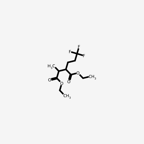 CCOC(=O)C(C)C(CCC(F)(F)F)C(=O)OCC